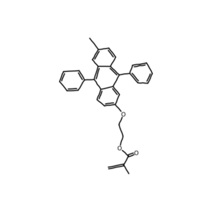 C=C(C)C(=O)OCCOc1ccc2c(-c3ccccc3)c3cc(C)ccc3c(-c3ccccc3)c2c1